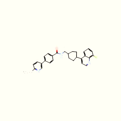 COc1ccc(-c2ccc(C(=O)N[C@H](C)C3CCC(c4ccnc5c(F)cccc45)CC3)cc2)cn1